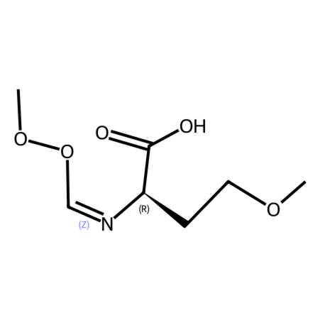 COCC[C@@H](/N=C\OOC)C(=O)O